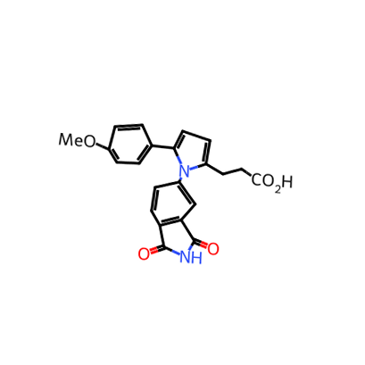 COc1ccc(-c2ccc(CCC(=O)O)n2-c2ccc3c(c2)C(=O)NC3=O)cc1